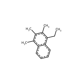 CCc1c(C)c(C)c(C)c2ccccc12